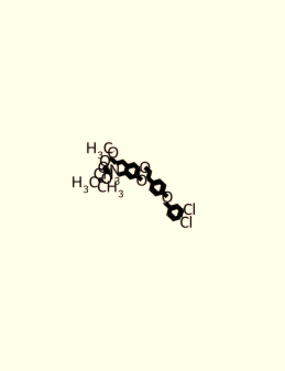 COC(=O)C1Cc2cc3c(cc2CN1C(=O)OC(C)(C)C)OC(c1ccc(OCc2ccc(Cl)c(Cl)c2)cc1)CO3